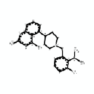 Cc1cccc(CN2CCC(c3cccc4nc(N)nc(N)c34)CC2)c1N(C)C